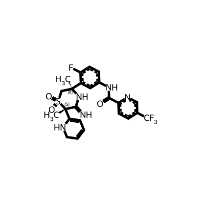 C[C@]1(C2=CC=CCN2)C(=N)N[C@](C)(c2cc(NC(=O)c3ccc(C(F)(F)F)cn3)ccc2F)CS1(=O)=O